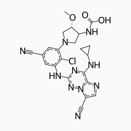 CO[C@H]1CN(c2cc(C#N)cc(Nc3nc(NC4CC4)c4ncc(C#N)n4n3)c2Cl)CC1NC(=O)O